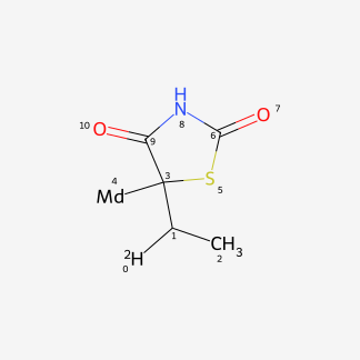 [2H]C(C)[C]1([Md])SC(=O)NC1=O